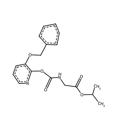 CC(C)OC(=O)CNC(=O)Oc1ncccc1OCc1ccccc1